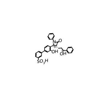 O=C1[C@H](CC[C@H](O)c2ccccc2)[C@@H](c2ccc(-c3cccc(S(=O)(=O)O)c3)cc2O)N1c1ccccc1